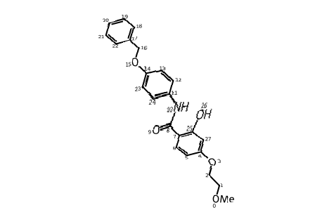 COCCOc1ccc(C(=O)Nc2ccc(OCc3ccccc3)cc2)c(O)c1